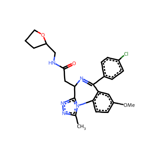 COc1ccc2c(c1)C(c1ccc(Cl)cc1)=NC(CC(=O)NCC1CCCO1)c1nnc(C)n1-2